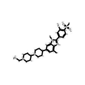 Cc1cc(C2CCN(C3CCN(CC(C)C)CC3)CC2)cc2c1nc(-c1ccc(S(C)(=O)=O)c(F)c1)n2C